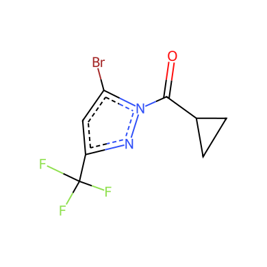 O=C(C1CC1)n1nc(C(F)(F)F)cc1Br